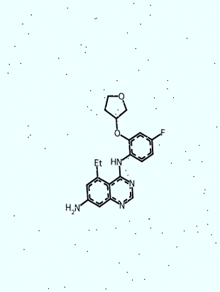 CCc1cc(N)cc2ncnc(Nc3ccc(F)cc3OC3CCOC3)c12